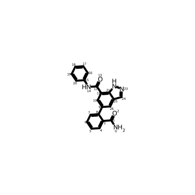 NC(=O)c1ccccc1-c1cc(C(=O)Nc2ccccc2)c2[nH]ncc2c1